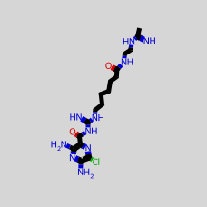 CC(=N)NCCNC(=O)CCCCCCNC(=N)NC(=O)c1nc(Cl)c(N)nc1N